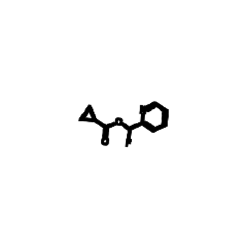 O=C(OC(F)c1ccccn1)C1CC1